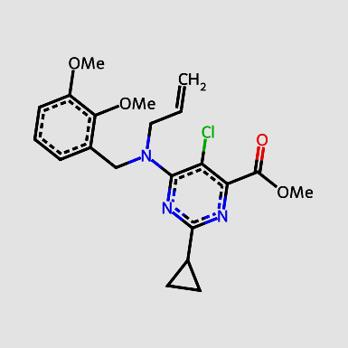 C=CCN(Cc1cccc(OC)c1OC)c1nc(C2CC2)nc(C(=O)OC)c1Cl